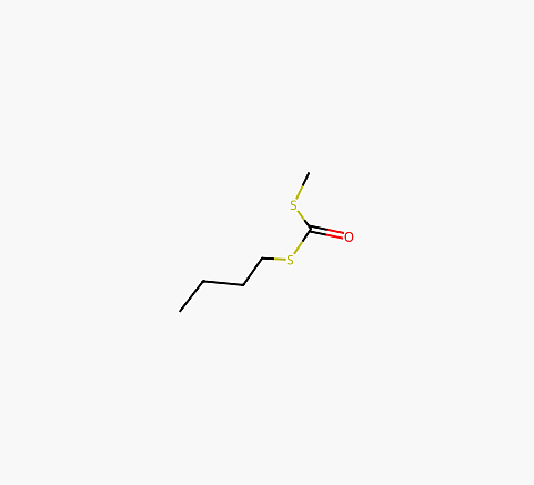 CCCCSC(=O)SC